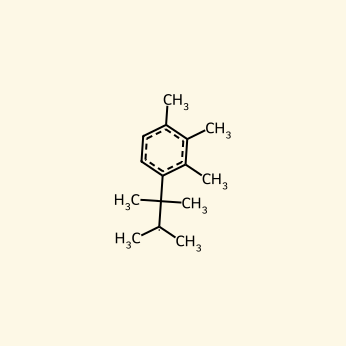 C[C](C)C(C)(C)c1ccc(C)c(C)c1C